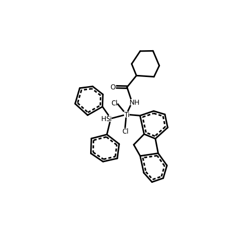 O=C([NH][Ti]([Cl])([Cl])([c]1cccc2c1Cc1ccccc1-2)[SiH](c1ccccc1)c1ccccc1)C1CCCCC1